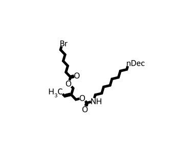 CC=C(COC(=O)CCCCCBr)COC(=O)NCCCCCCCCCCCCCCCCCC